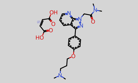 CN(C)CCCOc1ccc(-c2nn(CC(=O)N(C)C)c3ncccc23)cc1.O=C(O)/C=C\C(=O)O